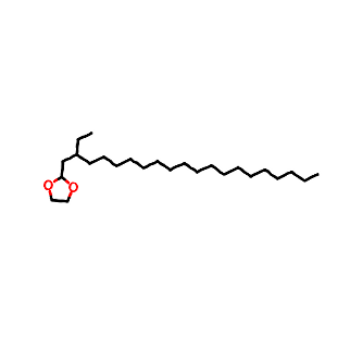 CCCCCCCCCCCCCCCCCCC(CC)CC1OCCO1